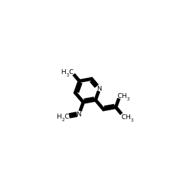 C=Nc1cc(C)cnc1C=C(C)C